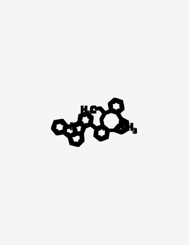 CCC1Cc2c(cccc2-c2cccc3c2c2cccc4c5ccccc5n3c42)-c2cccc(c2C)-c2ccccc21